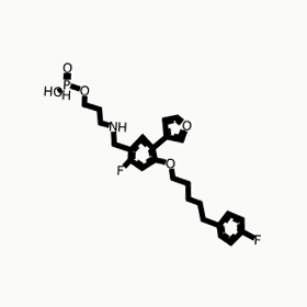 O=[PH](O)OCCCNCc1cc(-c2ccoc2)c(OCCCCCc2ccc(F)cc2)cc1F